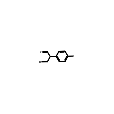 O=CC(CBr)c1ccc(F)cc1